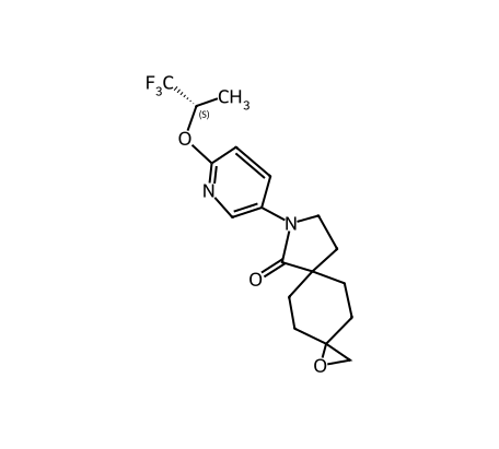 C[C@H](Oc1ccc(N2CCC3(CCC4(CC3)CO4)C2=O)cn1)C(F)(F)F